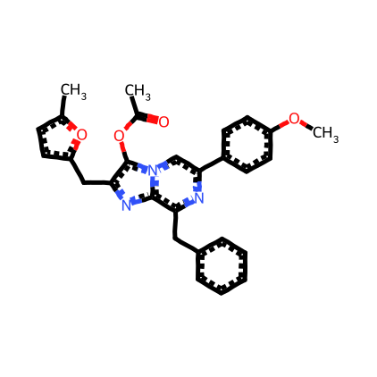 COc1ccc(-c2cn3c(OC(C)=O)c(Cc4ccc(C)o4)nc3c(Cc3ccccc3)n2)cc1